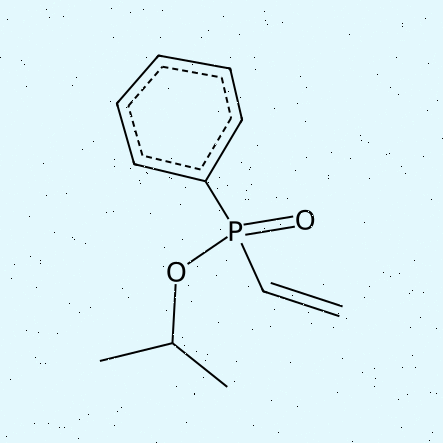 C=CP(=O)(OC(C)C)c1ccccc1